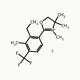 CCc1c(C2=[N+](C)C(C)(C)CO2)ccc(C(F)(F)F)c1C.[I-]